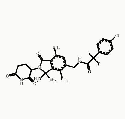 Bc1cc(CNC(=O)C(F)(F)c2ccc(Cl)cc2)c(B)c2c1C(=O)N(C1CCC(=O)NC1=O)C2(B)B